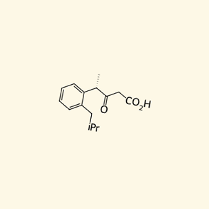 CC(C)Cc1ccccc1[C@H](C)C(=O)CC(=O)O